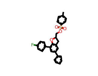 Cc1ccc(S(=O)(=O)OCC2Cc3cc(-c4ccccc4)cc(-c4ccc(F)cc4)c3O2)cc1